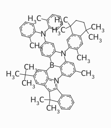 Cc1cc2c3c(c1)-n1c4c(c5cc(C(C)(C)C)cc(c51)B3c1ccc(N(c3ccccc3C)c3ccccc3C)cc1N2c1cc2c(cc1C)C(C)(C)CCC2(C)C)C(C)(C)c1ccccc1-4